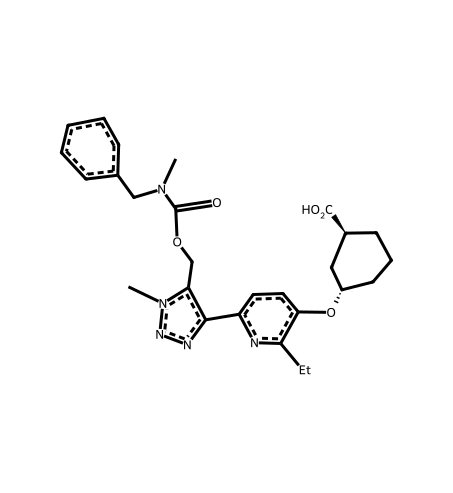 CCc1nc(-c2nnn(C)c2COC(=O)N(C)Cc2ccccc2)ccc1O[C@H]1CCC[C@H](C(=O)O)C1